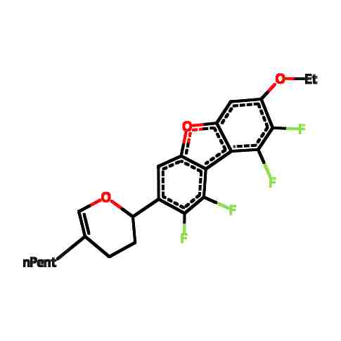 CCCCCC1=COC(c2cc3oc4cc(OCC)c(F)c(F)c4c3c(F)c2F)CC1